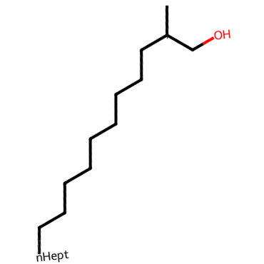 CCCCCCCCCCCCCCCC[C](C)CO